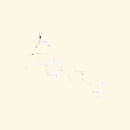 CN(c1cnc(-c2ccc(-c3cn[nH]c3)cc2O)nn1)[C@H]1CC2C[C@@H](F)C1[C@H](O)N2